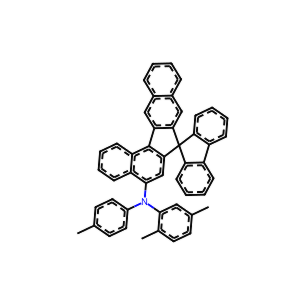 Cc1ccc(N(c2cc(C)ccc2C)c2cc3c(c4ccccc24)-c2cc4ccccc4cc2C32c3ccccc3-c3ccccc32)cc1